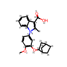 COc1ccc(-n2c(C)c(C(=O)O)c3ccccc32)cc1OC1CC2CCC1C2